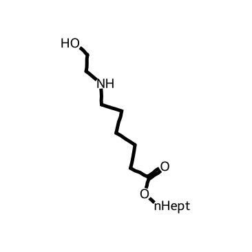 CCCCCCCOC(=O)CCCCCNCCO